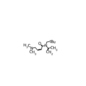 C=C(C)N(CC(C)(C)C)C(=O)/C=C\CN(C)C